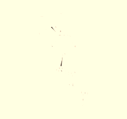 COO/C=N/[C@@H]1CC[C@H](C(C)(C)C)C1